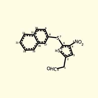 O=CCc1cc([N+](=O)[O-])c(Sc2ccc3ccccc3c2)s1